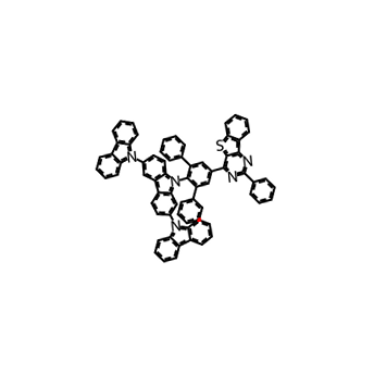 c1ccc(-c2nc(-c3cc(-c4ccccc4)c(-n4c5ccc(-n6c7ccccc7c7ccccc76)cc5c5ccc(-n6c7ccccc7c7ccccc76)cc54)c(-c4ccccc4)c3)c3sc4ccccc4c3n2)cc1